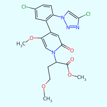 COCCC(C(=O)OC)n1cc(OC)c(-c2cc(Cl)ccc2-n2cc(Cl)nn2)cc1=O